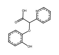 O=C(O)C(Oc1ccccc1O)c1ccccn1